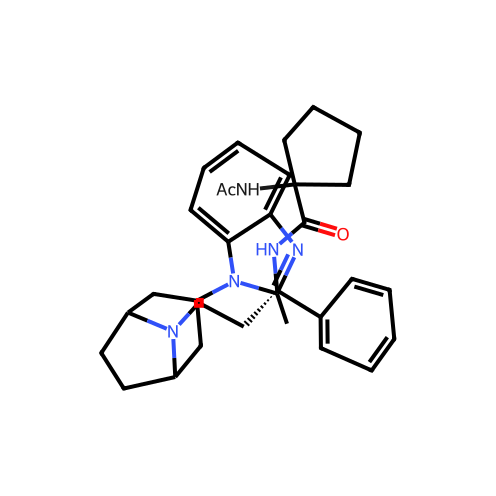 CC(=O)NC1(C(=O)N[C@@H](CCN2C3CCC2CC(n2c(C)nc4ccccc42)C3)c2ccccc2)CCCC1